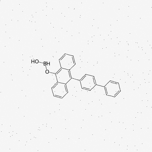 OBOc1c2ccccc2c(-c2ccc(-c3ccccc3)cc2)c2ccccc12